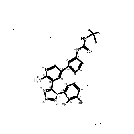 CC(C)(C)NC(=O)Nc1cccc(-c2cnc(N)c(-c3nnnn3-c3cccc(F)c3F)c2)c1